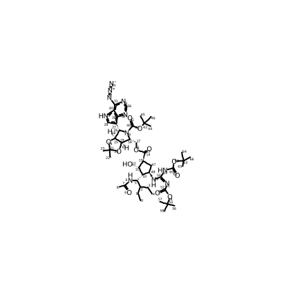 CCC(CC)C(NC(C)=O)[C@@H]1[C@H](O)[C@@H](C(=O)OC[C@@H]2[C@H]3OC(C)(C)O[C@H]3[C@H](c3c[nH]c4c(N=[N+]=[N-])ncnc34)N2C(=O)OC(C)(C)C)C[C@H]1N/C(=N\C(=O)OC(C)(C)C)NC(=O)OC(C)(C)C